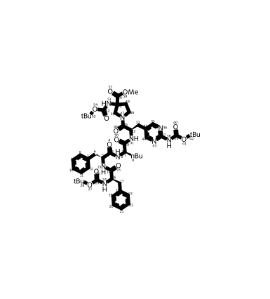 CCCC[C@@H](NC(=O)[C@@H](Cc1ccccc1)NC(=O)[C@@H](Cc1ccccc1)NC(=O)OC(C)(C)C)C(=O)N[C@H](Cc1cnc(NC(=O)OC(C)(C)C)nc1)C(=O)N1CCC(NC(=O)OC(C)(C)C)(C(=O)OC)C1